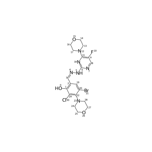 Oc1c(/C=N\Nc2ncc(F)c(N3CCOCC3)n2)cc(Br)c(N2CCOCC2)c1Cl